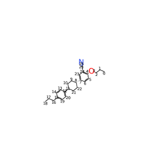 CCCOc1ccc([C@H]2CC[C@H](c3ccc(CCC)cc3)CC2)cc1C#N